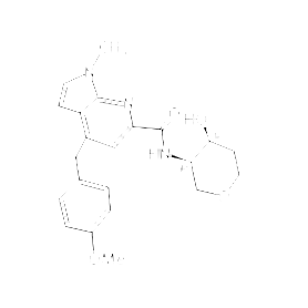 COc1ccc(Cc2cc(C(=O)N[C@@H]3COCC[C@@H]3O)nc3c2ccn3C)cc1